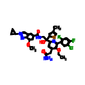 CCOc1c(CC(N)=O)cc([C@](O)(CNC(=O)c2cc(OC)c3nn(C4CC4)cc3c2)c2cc(C)cs2)nc1-c1cc(Cl)c(F)cc1F